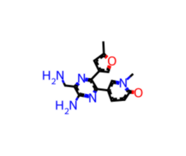 Cc1cc(-c2nc(CN)c(N)nc2-c2ccc(=O)n(C)c2)co1